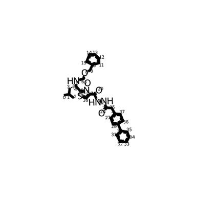 CC(C)C[C@H](NC(=O)OCc1ccccc1)c1nc(C(=O)NNC(=O)Cc2ccc(-c3ccccc3)cc2)cs1